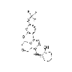 Oc1cc(OC(F)(F)F)ccc1-c1nnc(N[C@@H]2CCCC[C@@H]2O)c2c1CCOC2